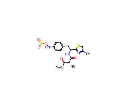 CCc1csc([C@H](Cc2ccc(NO[SH](=O)=O)cc2)NC(=O)[C@@H](C(=O)OC)C(C)C)n1